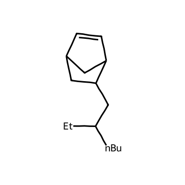 CCCCC(CC)CC1CC2C=CC1C2